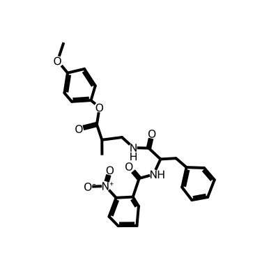 COc1ccc(OC(=O)C(C)CNC(=O)C(Cc2ccccc2)NC(=O)c2ccccc2[N+](=O)[O-])cc1